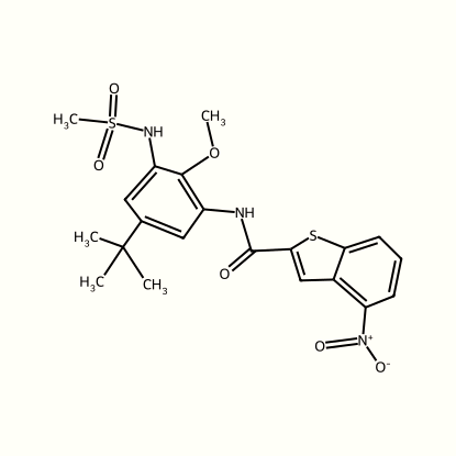 COc1c(NC(=O)c2cc3c([N+](=O)[O-])cccc3s2)cc(C(C)(C)C)cc1NS(C)(=O)=O